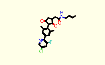 C/C=C/CNC(=O)CC1CC(=O)C(c2c(C)cc(-c3ncc(Cl)cc3F)cc2C)C1=O